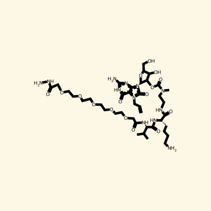 C=CCn1c(=O)n([C@@H]2OC(CO)C(O)C2OC(=O)N(C)CCNC(=O)[C@H](CCCCN)NC(=O)[C@@H](NC(=O)COCCOCCOCCOCCOCC(=O)NN)C(C)C)c2nc(N)[nH]c(=O)c21